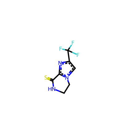 FC(F)(F)c1cn2c(n1)C(=S)NCC2